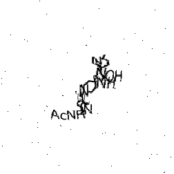 CC(=O)Nc1ncc([C@H](C)N2CCC3(CC2)CN(c2ccc(C)nc2)C(O)N3)s1